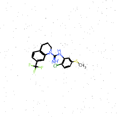 CSc1ccc(Cl)c(NC(=N)N2CCCc3ccc(C(F)(F)F)cc32)c1